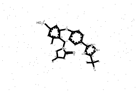 Cc1cc(C(=O)O)cc(Oc2ccc(-c3nnc(C(C)(C)F)s3)cc2)c1CN1CC(C)CC1=O